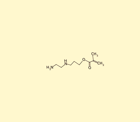 C=C(C)C(=O)OCCCNCCN